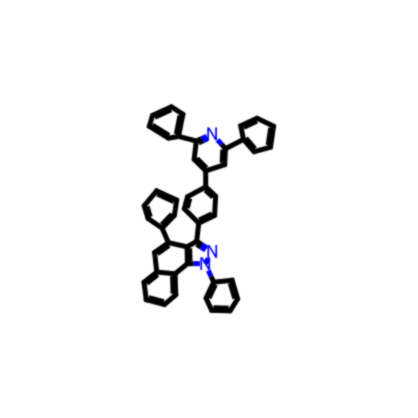 c1ccc(-c2cc(-c3ccc(-c4nn(-c5ccccc5)c5c4c(-c4ccccc4)cc4ccccc45)cc3)cc(-c3ccccc3)n2)cc1